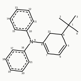 CC(C)(C)C1C=CC=C(N(c2ccccc2)c2ccccc2)C1